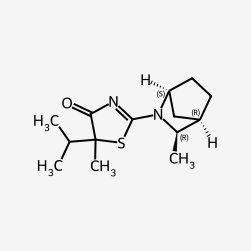 CC(C)C1(C)SC(N2[C@H]3CC[C@H](C3)[C@H]2C)=NC1=O